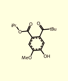 COc1cc(C(=O)OC(C)C)c(C(=O)C(C)(C)C)cc1O